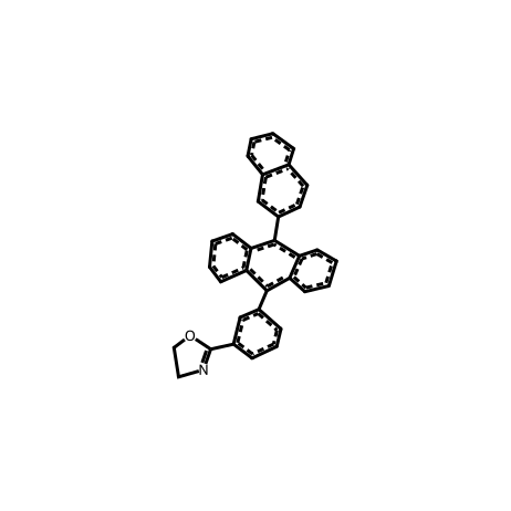 c1cc(C2=NCCO2)cc(-c2c3ccccc3c(-c3ccc4ccccc4c3)c3ccccc23)c1